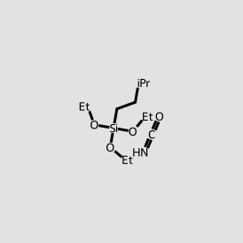 CCO[Si](CCC(C)C)(OCC)OCC.N=C=O